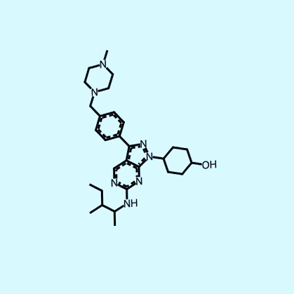 CCC(C)C(C)Nc1ncc2c(-c3ccc(CN4CCN(C)CC4)cc3)nn(C3CCC(O)CC3)c2n1